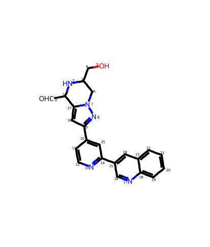 O=CC1NC(CO)Cn2nc(-c3ccnc(-c4cnc5ccccc5c4)c3)cc21